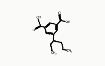 CCCC(CC)c1cc(C(=O)O)cc(C(=O)O)c1